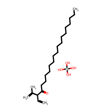 C=CC(C(=C)C)C(=O)CCCCCCCCCCCCCCCCC.[OH][Ti]([OH])([OH])[OH]